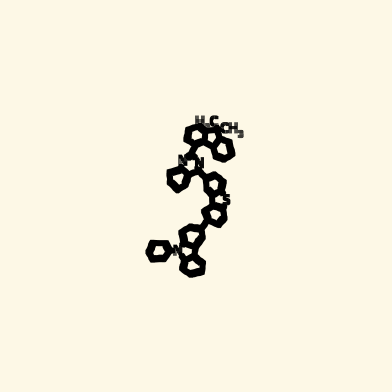 CC1(C)c2cccc(-c3nc(-c4ccc5sc6ccc(-c7ccc8c(c7)c7ccccc7n8-c7ccccc7)cc6c5c4)c4ccccc4n3)c2C2C=CC=CC21